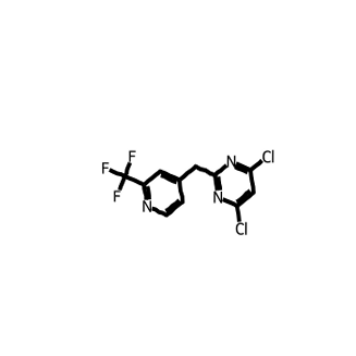 FC(F)(F)c1cc(Cc2nc(Cl)cc(Cl)n2)ccn1